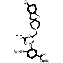 COC(=O)c1ccc(NC(C)=O)c(OC[C@@H](CN2CCC3(CC2)Cc2cc(Cl)ccc2O3)OC(=O)C(F)(F)F)c1